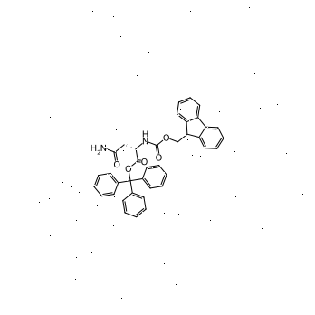 NC(=O)C[C@H](NC(=O)OCC1c2ccccc2-c2ccccc21)C(=O)OC(c1ccccc1)(c1ccccc1)c1ccccc1